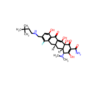 CN(C)[C@@H]1C(O)=C(C(N)=O)C(=O)[C@@]2(O)C(O)=C3C(=O)c4c(O)cc(CNCCC(C)(C)C)c(F)c4C[C@H]3C[C@@H]12